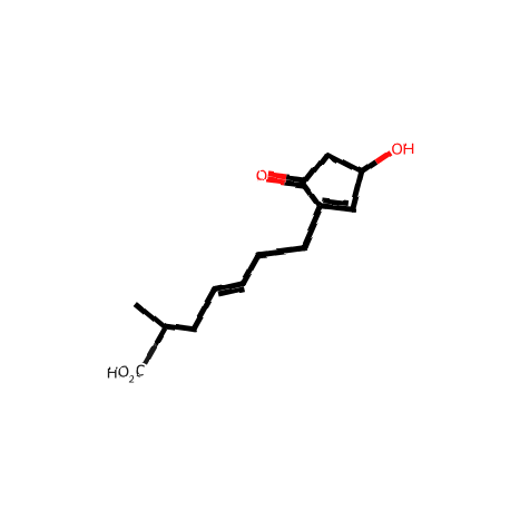 CC(C/C=C/CCC1=CC(O)CC1=O)C(=O)O